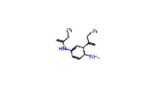 C=C(CC(C)C)NC1=CC(C(=C)CC(C)C)C(N)C=C1